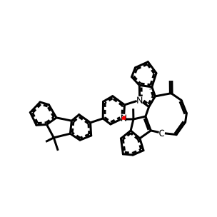 C=C1/C=C\C=C/CC2=C(c3c1c1ccccc1n3-c1ccc(-c3ccc4c(c3)-c3ccccc3C4(C)C)cn1)C(C)(C)c1ccccc12